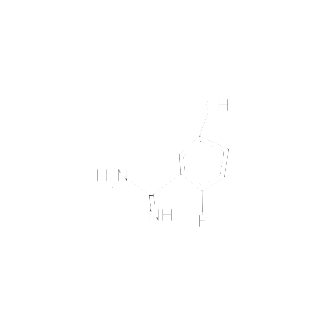 Cc1ccc(F)c(C(=N)N)c1